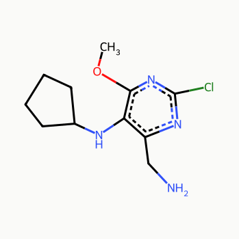 COc1nc(Cl)nc(CN)c1NC1CCCC1